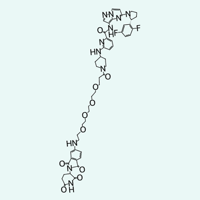 O=C1CCC(N2C(=O)c3ccc(NCCOCCOCCOCCOCCC(=O)N4CCC(Nc5cccc(C(=O)Nc6cnn7ccc(N8CCC[C@@H]8c8cc(F)ccc8F)nc67)n5)CC4)cc3C2=O)C(=O)N1